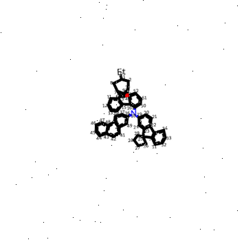 CCC1CC2CCCC(C1)C21c2ccccc2-c2c(N(c3ccc4c(c3)C3(CCCC3)c3ccccc3-4)c3ccc4c(ccc5ccccc54)c3)cccc21